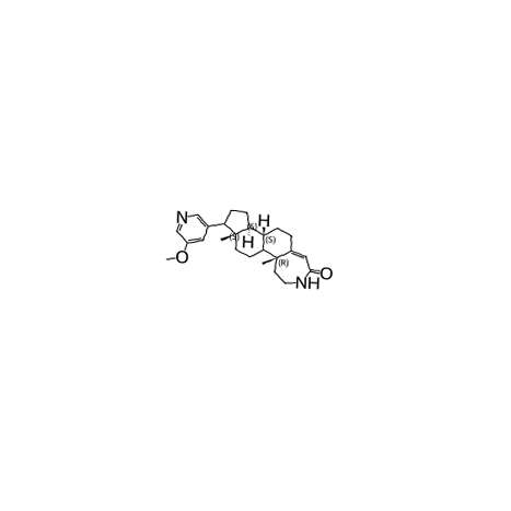 COc1cncc(C2CC[C@H]3[C@@H]4CCC5=CC(=O)NCC[C@]5(C)C4CC[C@]23C)c1